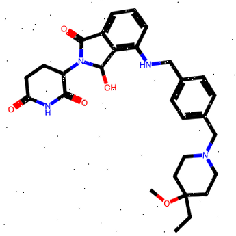 CCC1(OC)CCN(Cc2ccc(CNc3cccc4c3C(O)N(C3CCC(=O)NC3=O)C4=O)cc2)CC1